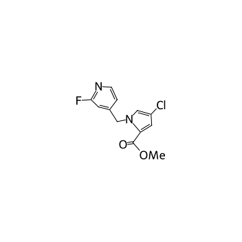 COC(=O)c1cc(Cl)cn1Cc1ccnc(F)c1